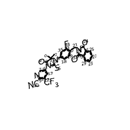 CC1(C)C(=O)N(c2cnc(C#N)c(C(F)(F)F)c2)C(=S)N1c1ccc(CN2C(=O)c3ccccc3C2=O)c(F)c1